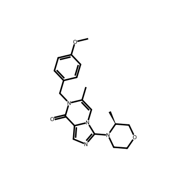 COc1ccc(Cn2c(C)cn3c(N4CCOC[C@@H]4C)ncc3c2=O)cc1